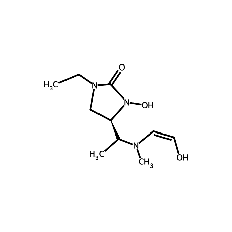 CCN1C[C@H](C(C)N(C)/C=C\O)N(O)C1=O